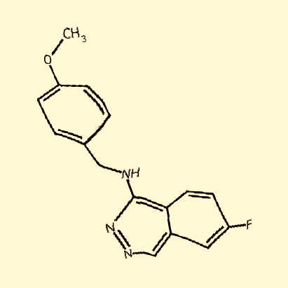 COc1ccc(CNc2nncc3cc(F)ccc23)cc1